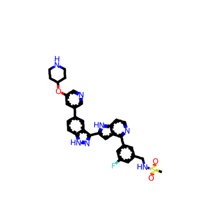 CS(=O)(=O)NCc1cc(F)cc(-c2nccc3[nH]c(-c4n[nH]c5ccc(-c6cncc(OC7CCNCC7)c6)cc45)cc23)c1